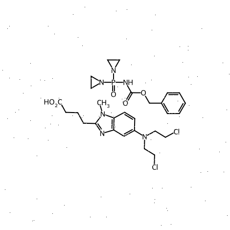 Cn1c(CCCC(=O)O)nc2cc(N(CCCl)CCCl)ccc21.O=C(NP(=O)(N1CC1)N1CC1)OCc1ccccc1